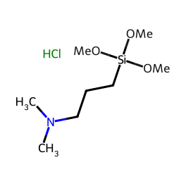 CO[Si](CCCN(C)C)(OC)OC.Cl